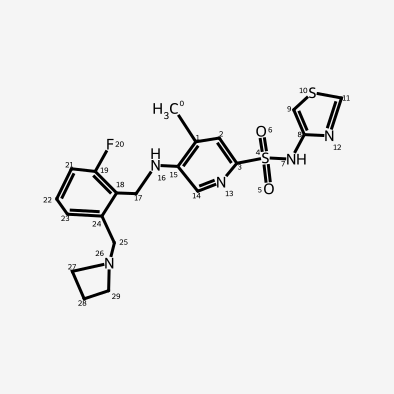 Cc1cc(S(=O)(=O)Nc2cscn2)ncc1NCc1c(F)cccc1CN1CCC1